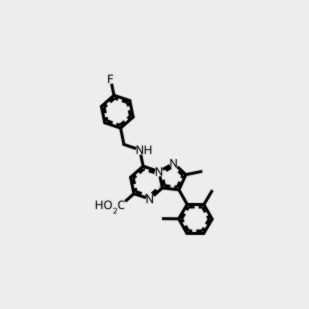 Cc1cccc(C)c1-c1c(C)nn2c(NCc3ccc(F)cc3)cc(C(=O)O)nc12